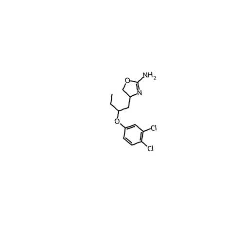 CCC(CC1COC(N)=N1)Oc1ccc(Cl)c(Cl)c1